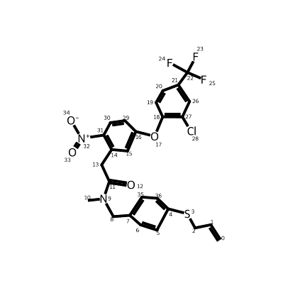 C=CCSc1ccc(CN(C)C(=O)Cc2cc(Oc3ccc(C(F)(F)F)cc3Cl)ccc2[N+](=O)[O-])cc1